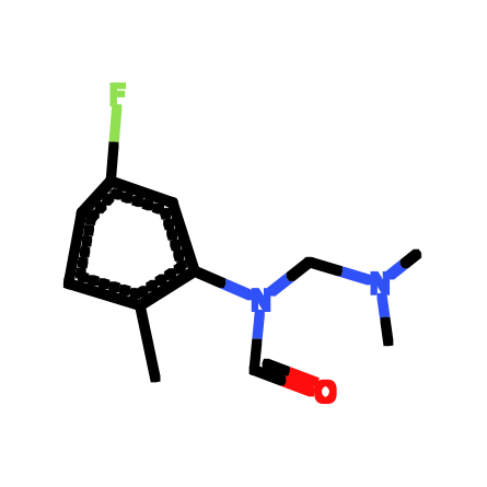 Cc1ccc(F)cc1N(C=O)CN(C)C